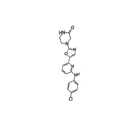 O=C1CN(c2ncc(-c3cccc(Nc4ccc(Cl)cc4)n3)o2)CCN1